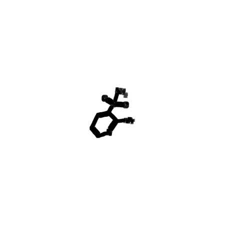 CCCc1ncccc1S(N)(=O)=O